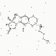 O=C1CN(c2c(O)cc3c(c2F)C[C@@H](NCCCC(F)(F)F)CC3)S(=O)(=O)N1